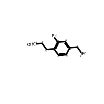 CC(C)Cc1ccc(CCC=O)c(F)c1